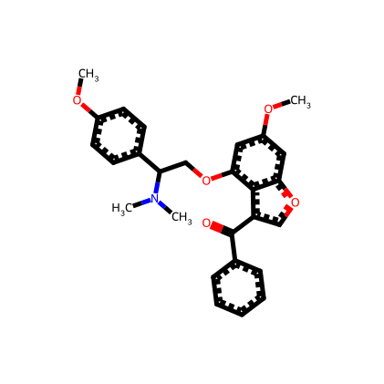 COc1ccc(C(COc2cc(OC)cc3occ(C(=O)c4ccccc4)c23)N(C)C)cc1